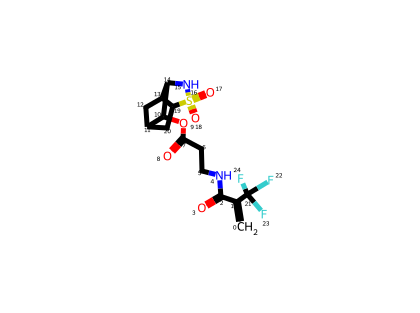 C=C(C(=O)NCCC(=O)OC1C2CC3C1NS(=O)(=O)C3C2)C(F)(F)F